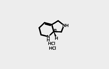 C1=C2CNC[C@@H]2NCC1.Cl.Cl